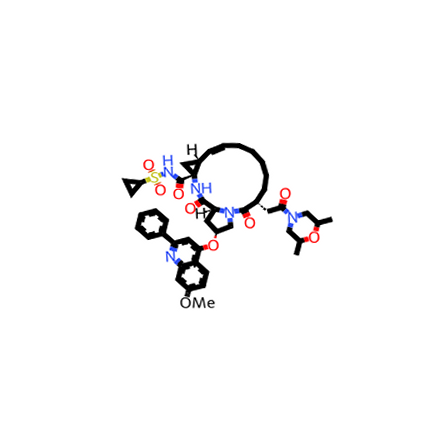 COc1ccc2c(O[C@@H]3C[C@H]4C(=O)N[C@]5(C(=O)NS(=O)(=O)C6CC6)C[C@H]5/C=C\CCCCC[C@H](CC(=O)N5CC(C)OC(C)C5)C(=O)N4C3)cc(-c3ccccc3)nc2c1